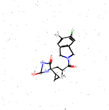 Cc1cc2c(cc1Cl)CN(C(=O)[C@@H](C)C[C@@]1(C3CC3)NC(O)NC1=O)C2